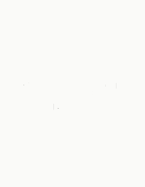 COCC(Br)C=O